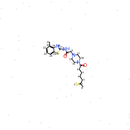 CC(=S)CCCCC(=O)N1CCN(CC(=O)Nc2nc3c(C)cccc3s2)CC1